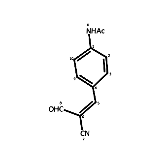 CC(=O)Nc1ccc(C=C(C#N)C=O)cc1